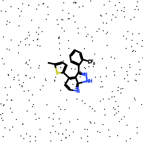 Cc1ccc(-c2ccnc3[nH]nc(-c4ccccc4C(F)(F)F)c23)s1